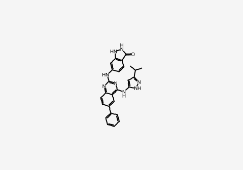 CC(C)c1cc(Nc2nc(Nc3ccc4c(=O)[nH][nH]c4c3)nc3ccc(-c4ccccc4)cc23)[nH]n1